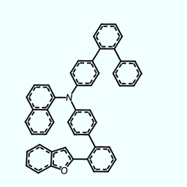 c1ccc(-c2ccccc2-c2ccc(N(c3ccc(-c4ccccc4-c4cc5ccccc5o4)cc3)c3cccc4ccccc34)cc2)cc1